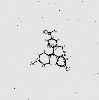 CC(=O)N1CCC(=C2c3ccc(Cl)cc3CCc3cc(C(C)O)cnc32)CC1